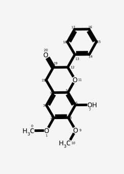 COc1cc2c(c(O)c1OC)OC(c1ccccc1)C(=O)C2